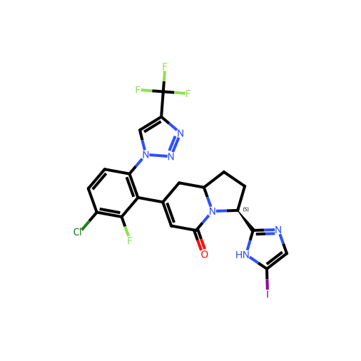 O=C1C=C(c2c(-n3cc(C(F)(F)F)nn3)ccc(Cl)c2F)CC2CC[C@@H](c3ncc(I)[nH]3)N12